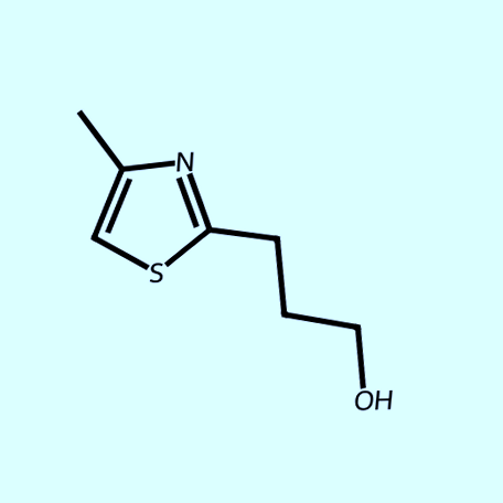 Cc1csc(CCCO)n1